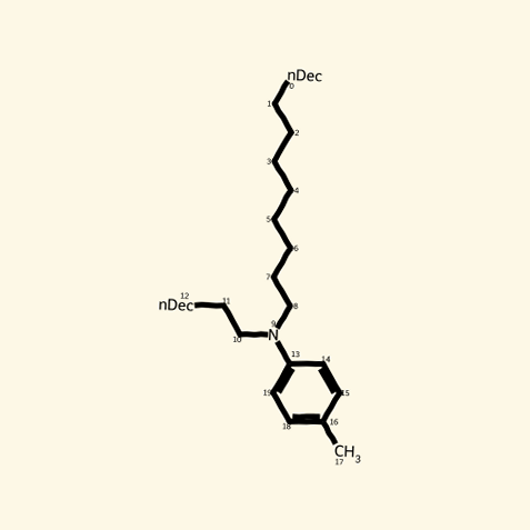 CCCCCCCCCCCCCCCCCCN(CCCCCCCCCCCC)c1ccc(C)cc1